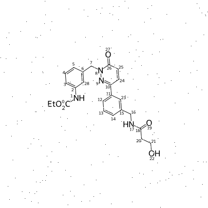 CCOC(=O)Nc1cccc(Cn2nc(-c3cccc(CNC(=O)CCO)c3)ccc2=O)c1